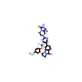 Cc1ccc(OC(F)F)c([C@H]2CCn3c(=O)c4ccc(-c5cnc(N6CCN7C(=O)NC[C@H]7C6)nc5)cc4n32)c1